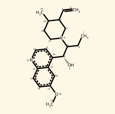 C=CC1CN(C(CC)[C@H](O)c2ccnc3ccc(OC)cc23)CCC1C